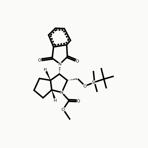 COC(=O)N1[C@@H]2CCC[C@@H]2[C@H](N2C(=O)c3ccccc3C2=O)[C@@H]1CO[Si](C)(C)C(C)(C)C